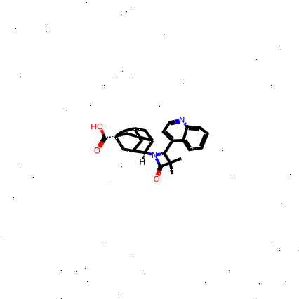 CC1(C)C(=O)N([C@H]2C3CC4CC2C[C@](C(=O)O)(C4)C3)C1c1ccnc2ccccc12